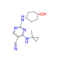 CC1(Nc2nc(N[C@H]3CC[C@H](O)CC3)ncc2C#N)CC1